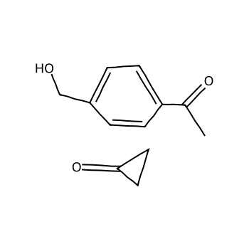 CC(=O)c1ccc(CO)cc1.O=C1CC1